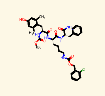 Cc1cc(O)cc(C)c1C[C@H](NC(=O)OC(C)(C)C)C(=O)N[C@@H](CCCCNC(=O)OCc1ccccc1Cl)C(=O)N[C@@H](Cc1ccccc1)C(N)=O